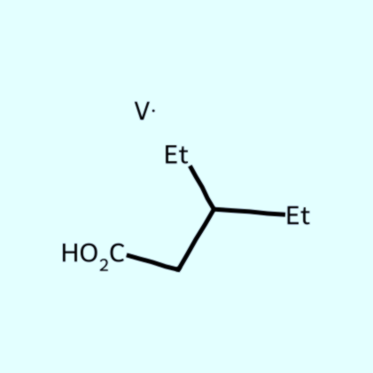 CCC(CC)CC(=O)O.[V]